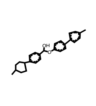 Cc1ccc(-c2ccc(OC(O)c3ccc(C4CCC(C)CC4)cc3)cc2)cc1